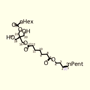 CCCCC/C=C\CCOC(=O)CCCCCC(=O)OCC(CO)(CO)COC(=O)CCCCCC